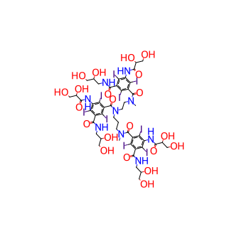 CN(CCCN(CCN(C)C(=O)c1c(I)c(NC(=O)C(O)CO)c(I)c(C(=O)NCC(O)CO)c1I)C(=O)c1c(I)c(NC(=O)C(O)CO)c(I)c(C(=O)NCC(O)CO)c1I)C(=O)c1c(I)c(NC(=O)C(O)CO)c(I)c(C(=O)NCC(O)CO)c1I